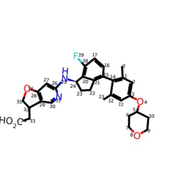 Cc1cc(OC2CCOCC2)cc(C)c1-c1ccc(F)c2c1CC[C@H]2Nc1cc2c(cn1)C(CC(=O)O)CO2